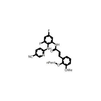 CCCCCOc1c(/C=C/C(=O)Nc2cc(F)cc(F)c2Nc2ccc(C#N)cn2)cccc1OC